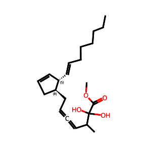 CCCCCCC=C[C@H]1C=CC[C@@H]1CC=C=CC(C)C(O)(O)C(=O)OC